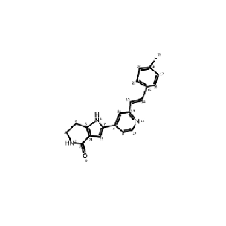 O=C1NCCc2[nH]c(-c3ccnc(/C=C/c4ccc(F)cc4)c3)cc21